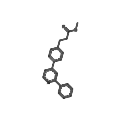 COC(=O)CCc1ccc(-c2ccnc(-c3ccccc3)c2)cc1